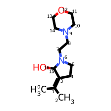 CC(C)=C1CCN(CCN2CCOCC2)C1O